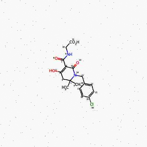 CC1(C)CC(O)=C(C(=O)NCC(=O)O)C(=O)N1Cc1ccc(Cl)cc1